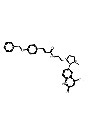 C[C@@H]1CC[C@H](CCNC(=O)C=Cc2ccc(OCc3ccccc3)cc2)N1c1ccc2[nH]c(=O)cc(C(F)(F)F)c2c1